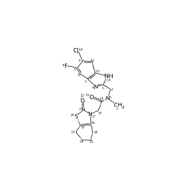 CN(Cc1nc2cc(F)c(Cl)cc2[nH]1)C(=O)Cn1c2c(sc1=O)CCCC2